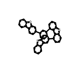 c1cc(-c2ccc3c(c2)oc2ccccc23)cc(-c2cccc3sc4cccc(-c5ccc6sc7ccccc7c6c5)c4c23)c1